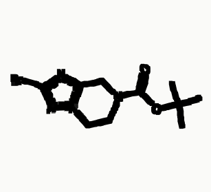 CC(C)(C)OC(=O)N1CCn2nc(Br)nc2C1